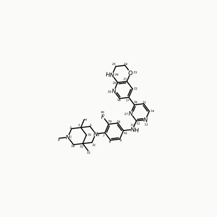 CN1CC2(C)CN(c3ccc(Nc4nccc(-c5cnc6c(c5)OCCN6)n4)cc3F)CC(C)(C1)C2